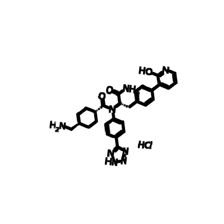 Cl.NC[C@H]1CC[C@H](C(=O)N(c2ccc(-c3nn[nH]n3)cc2)[C@@H](Cc2ccc(-c3cccnc3O)cc2)C(N)=O)CC1